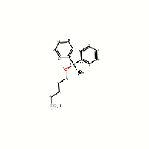 CC(C)(C)[Si](OCCCCC(=O)O)(c1ccccc1)c1ccccc1